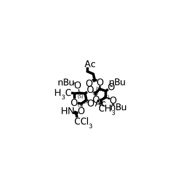 CCCCOC1[C@@H](OCCCC)C(C)O[C@@H](OC2[C@@H](OCCCC)C(C)O[C@@H](OC(=N)C(Cl)(Cl)Cl)[C@H]2OC(C)=O)[C@H]1OC(=O)CCC(C)=O